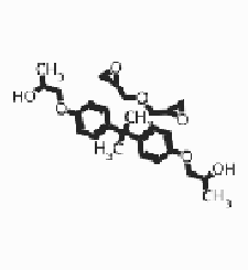 C(OCC1CO1)C1CO1.CC(O)COc1ccc(C(C)(C)c2ccc(OCC(C)O)cc2)cc1